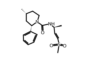 C[C@@H]1CCN(C(=O)N[C@@H](C)/C=C/S(C)(=O)=O)[C@H](c2ccccc2)C1